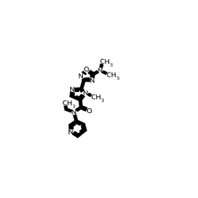 CCN(C(=O)c1cnc(-c2noc(N(C)C)n2)n1C)c1cccnc1